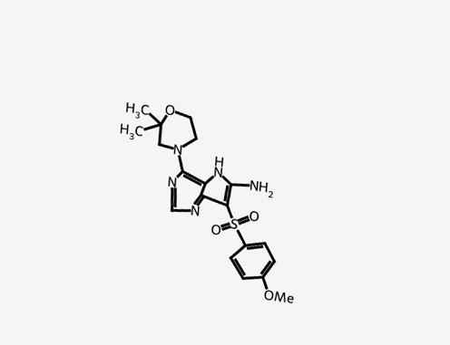 COc1ccc(S(=O)(=O)c2c(N)[nH]c3c(N4CCOC(C)(C)C4)ncnc23)cc1